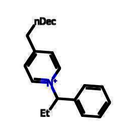 CCCCCCCCCCCc1cc[n+](C(CC)c2ccccc2)cc1